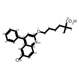 CC(C)(CCCCOc1cc(-c2ccccc2)c2cc(Cl)ccc2n1)C(=O)O